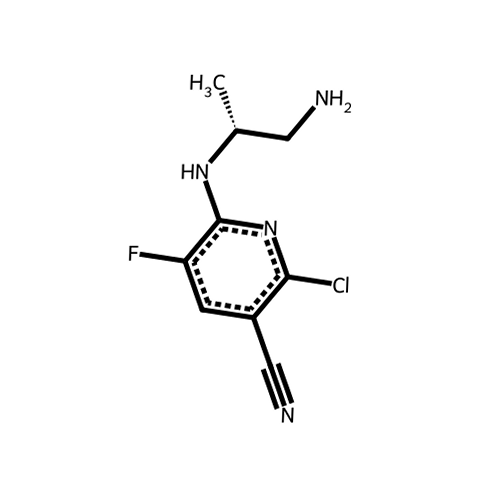 C[C@H](CN)Nc1nc(Cl)c(C#N)cc1F